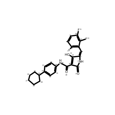 O=C1N/C(=C/c2c(F)ccc(F)c2F)C(O)=C1C(=O)Nc1ccc(C2CCCCC2)cc1